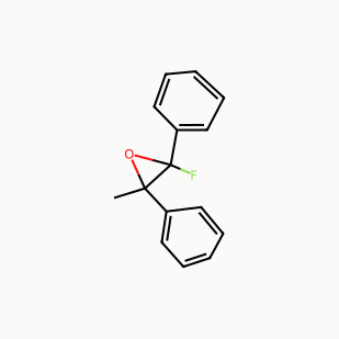 CC1(c2ccccc2)OC1(F)c1ccccc1